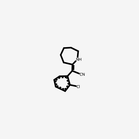 N#C/C(=C1/CCCCCN1)c1ccccc1Cl